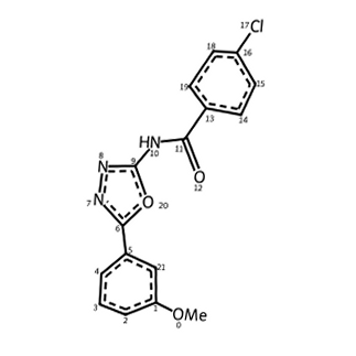 COc1cccc(-c2nnc(NC(=O)c3ccc(Cl)cc3)o2)c1